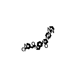 O=C1CC(N2CCN(c3ncccn3)CC2)CN1c1ccc2c(c1)CCN2C(=O)Cc1ccnc(Cl)c1